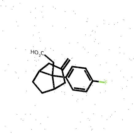 C=C1CC2CCC(C1)C2(CC(=O)O)c1ccc(F)cc1